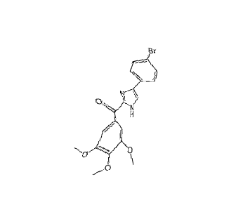 COc1cc(C(=O)c2nc(-c3ccc(Br)cc3)c[nH]2)cc(OC)c1OC